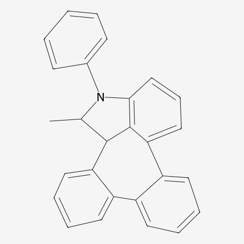 CC1C2c3ccccc3-c3ccccc3-c3cccc(c32)N1c1ccccc1